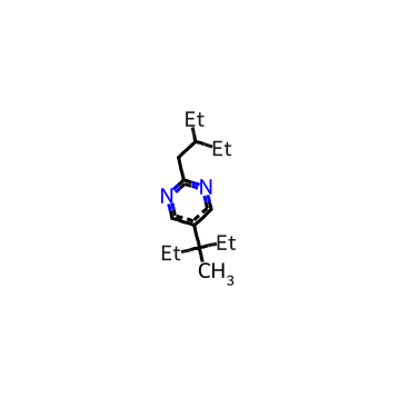 CCC(CC)Cc1ncc(C(C)(CC)CC)cn1